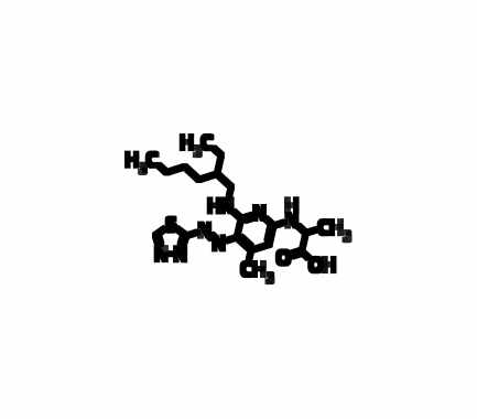 CCCCC(CC)CNc1nc(NC(C)C(=O)O)cc(C)c1N=Nc1nncs1